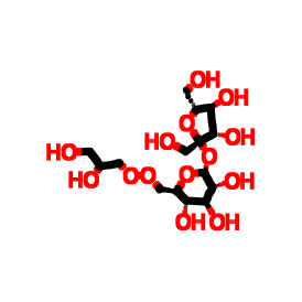 OCC(O)COOC[C@H]1O[C@H](O[C@]2(CO)O[C@H](CO)[C@@H](O)[C@@H]2O)[C@H](O)[C@@H](O)[C@@H]1O